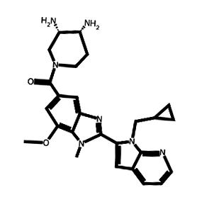 COc1cc(C(=O)N2CC[C@@H](N)[C@@H](N)C2)cc2nc(-c3cc4cccnc4n3CC3CC3)n(C)c12